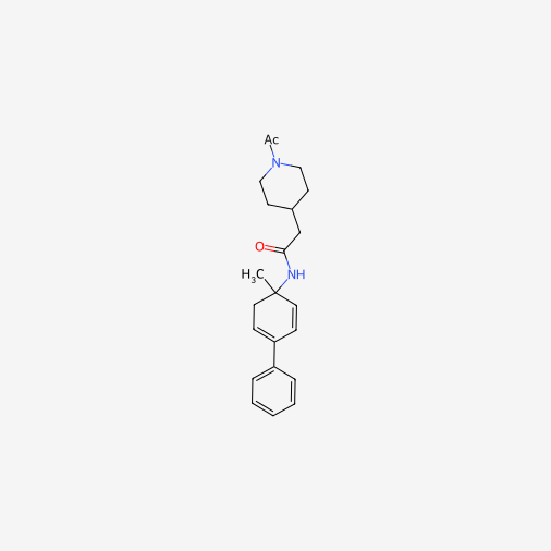 CC(=O)N1CCC(CC(=O)NC2(C)C=CC(c3ccccc3)=CC2)CC1